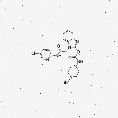 CC(C)N1CCC(NC(=O)Oc2nc3ccccc3n2CC(=O)Nc2ccc(Cl)cn2)CC1